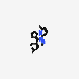 C=NN(C(=C1CCCC1)C(/C=C\C(=C)C)=C/C)c1cccc(C)n1